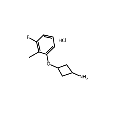 Cc1c(F)cccc1OC1CC(N)C1.Cl